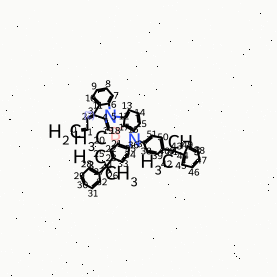 C=C/C=c1\c2n(c3ccccc13)-c1cccc3c1B(C=2C)c1cc(C(C)(C)c2ccccc2)ccc1N3c1ccc(C(C)(C)c2ccccc2)cc1